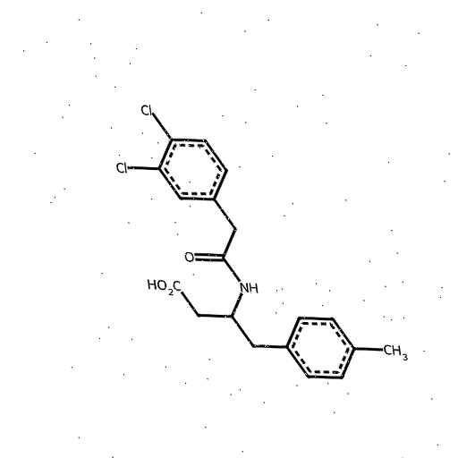 Cc1ccc(CC(CC(=O)O)NC(=O)Cc2ccc(Cl)c(Cl)c2)cc1